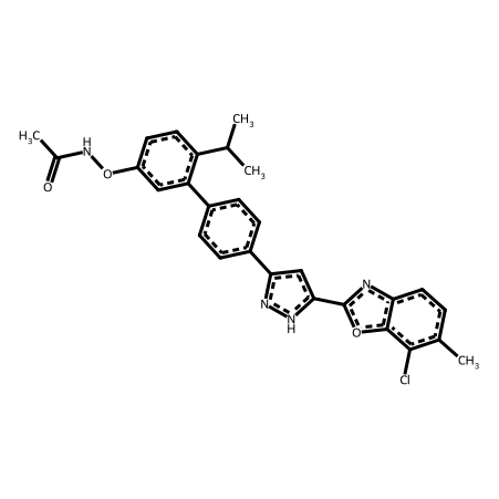 CC(=O)NOc1ccc(C(C)C)c(-c2ccc(-c3cc(-c4nc5ccc(C)c(Cl)c5o4)[nH]n3)cc2)c1